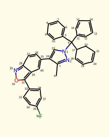 Cc1nn(C(c2ccccc2)(c2ccccc2)C2C=CC=CC2)cc1-c1ccc2noc(-c3ccc(F)cc3)c2c1